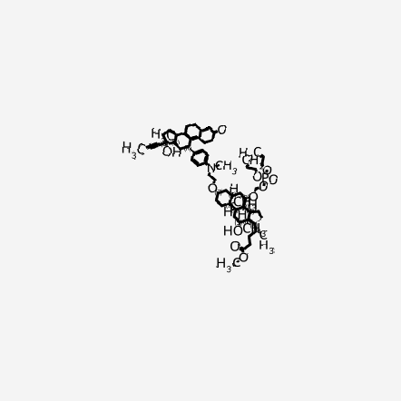 C=CCOP(=O)(OCC=C)OCO[C@@H]1C[C@@H]2C[C@@H](OCCN(C)c3ccc([C@H]4C[C@@]5(C)C(CC[C@@]5(O)C#CC)C5CCC6=CC(=O)CCC6=C54)cc3)CC[C@]2(C)[C@H]2C[C@H](O)[C@]3(C)[C@@H]([C@H](C)CCC(=O)OC)CC[C@H]3[C@H]12